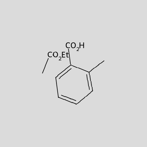 CCOC(C)=O.Cc1ccccc1C(=O)O